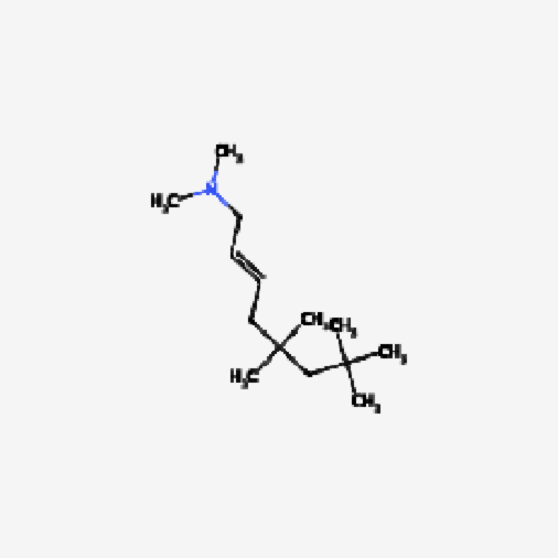 CN(C)CC=CCC(C)(C)CC(C)(C)C